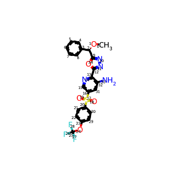 CO[C@@H](c1ccccc1)c1nnc(-c2ncc(S(=O)(=O)c3ccc(OC(F)(F)F)cc3)cc2N)o1